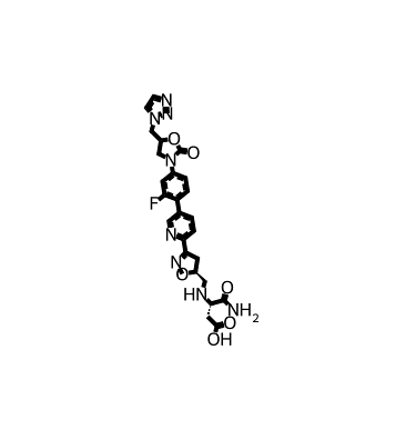 NC(=O)[C@H](CC(=O)O)NC[C@@H]1CC(c2ccc(-c3ccc(N4CC(Cn5ccnn5)OC4=O)cc3F)cn2)=NO1